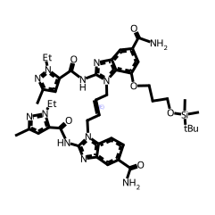 CCn1nc(C)cc1C(=O)Nc1nc2cc(C(N)=O)ccc2n1C/C=C/Cn1c(NC(=O)c2cc(C)nn2CC)nc2cc(C(N)=O)cc(OCCCO[Si](C)(C)C(C)(C)C)c21